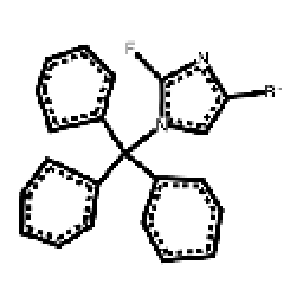 Fc1nc(Br)cn1C(c1ccccc1)(c1ccccc1)c1ccccc1